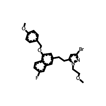 COCCn1nc(Br)cc1CCc1cc(OCc2ccc(OC)cc2)c2ccc(F)cc2c1